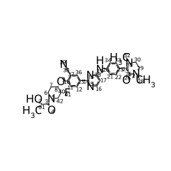 C[C@H](O)C(=O)N1CC[C@H](Oc2ccc(-c3nccc(Nc4ccc([C@@H]5C(=O)N(C)CCN5C)cc4)n3)cc2C#N)[C@H](F)C1